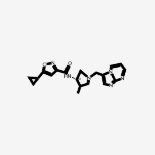 CC1CN(Cc2cnc3ncccn23)C[C@H]1NC(=O)c1cc(C2CC2)on1